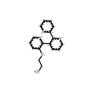 NCCOc1cccnc1-c1cccnc1-c1ccccn1